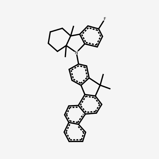 CC1(C)c2cc(N3c4ccc(F)cc4C4(C)CCCCC34C)ccc2-c2c1ccc1c2ccc2ccccc21